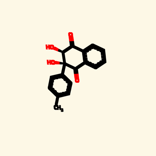 Cc1ccc([C@@]2(O)C(=O)c3ccccc3C(=O)[C@@H]2O)cc1